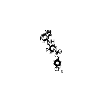 O=C(OCc1ccc(C(F)(F)F)cc1)N1CC[C@H](CNc2cncc3nncn23)[C@H](F)C1